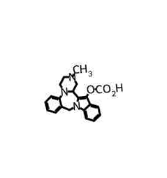 CN1CCN2c3ccccc3Cn3c(c(OC(=O)O)c4ccccc43)C2C1